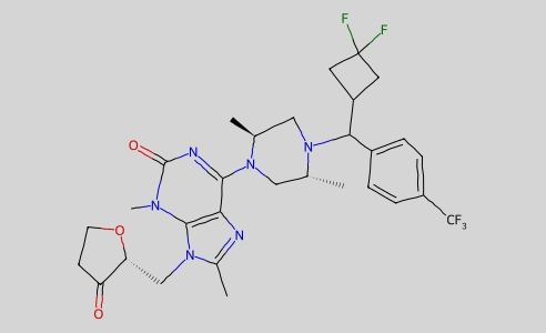 Cc1nc2c(N3C[C@@H](C)N(C(c4ccc(C(F)(F)F)cc4)C4CC(F)(F)C4)C[C@@H]3C)nc(=O)n(C)c2n1C[C@H]1OCCC1=O